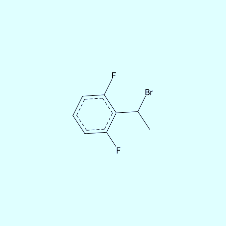 CC(Br)c1c(F)cccc1F